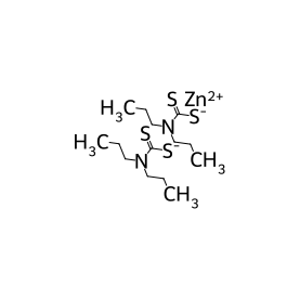 CCCN(CCC)C(=S)[S-].CCCN(CCC)C(=S)[S-].[Zn+2]